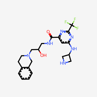 O=C(NCC(O)CN1CCc2ccccc2C1)c1cc(NC2CNC2)nc(C(F)(F)F)n1